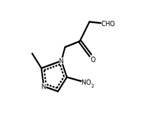 Cc1ncc([N+](=O)[O-])n1CC(=O)CC=O